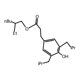 CCCCC(CC)COC(=O)CCc1cc(CC(C)C)c(O)c(CC(C)C)c1